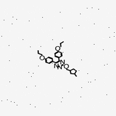 CCCOc1ccc(-c2nnc(OCC3CCC(C)C3)nc2-c2ccc(OCCC)cc2)cc1